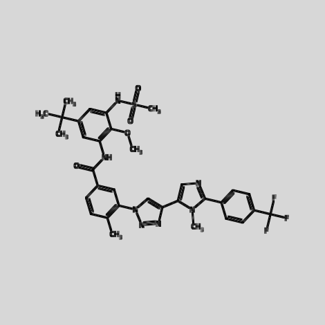 COc1c(NC(=O)c2ccc(C)c(-n3cc(-c4cnc(-c5ccc(C(F)(F)F)cc5)n4C)nn3)c2)cc(C(C)(C)C)cc1NS(C)(=O)=O